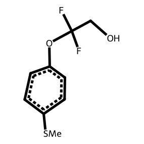 CSc1ccc(OC(F)(F)CO)cc1